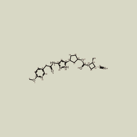 COc1ccc(CC(=O)Nc2cc([C@H]3CCC(OC(=O)N4C[C@@H](C#N)[C@@H]4C)C3)[nH]n2)cn1